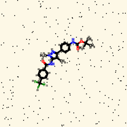 Cc1c(-c2ccc(NC(=O)OC(C)(C)C)cc2)nn(C)c1NC(=O)c1ccc(C(F)(F)F)cc1